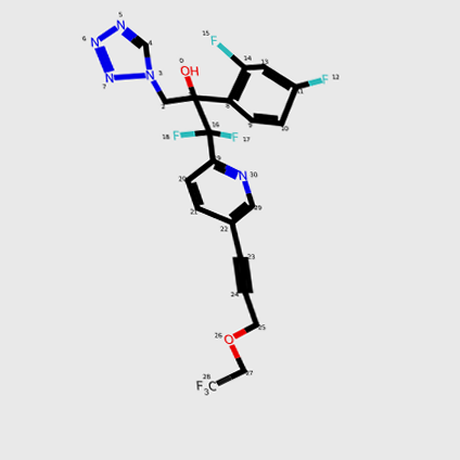 OC(Cn1cnnn1)(c1ccc(F)cc1F)C(F)(F)c1ccc(C#CCOCC(F)(F)F)cn1